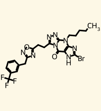 CCCCCn1c2nc(Br)[nH]c2c(=O)n2c(CCc3nc(Cc4cccc(C(F)(F)F)c4)no3)nnc12